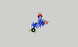 Fc1cc(F)cc(-c2nnc(CNc3nc(N4CCOCC4)nc4c(Br)cnn34)[nH]2)c1